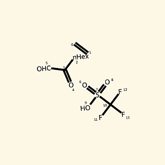 C=C.CCCCCCC(=O)C=O.O=S(=O)(O)C(F)(F)F